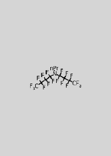 CCCN(C(F)(F)C(F)(F)C(F)(F)C(F)(F)F)C(F)(F)C(F)(F)C(F)(F)C(F)(F)F